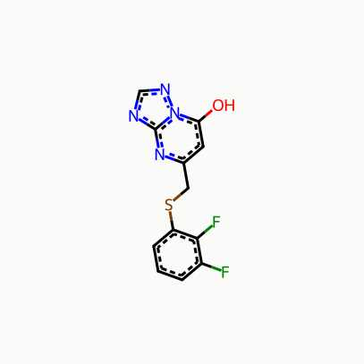 Oc1cc(CSc2cccc(F)c2F)nc2ncnn12